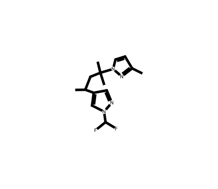 Cc1ccn(C(C)(C)CC(C)c2cnn(C(F)F)c2)n1